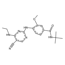 CCNc1nc(Nc2ccc(C(=O)NC(C)(C)C)cc2OC)ncc1C#N